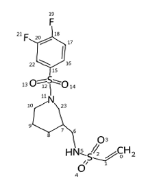 C=CS(=O)(=O)NCC1CCCN(S(=O)(=O)c2ccc(F)c(F)c2)C1